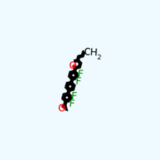 C=CCCC1CCC(c2ccc(-c3ccc(-c4ccc(C5CO5)c(F)c4F)cc3)c(F)c2F)OC1